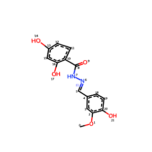 COc1cc(/C=N/NC(=O)c2ccc(O)cc2O)ccc1O